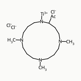 CC(=O)C1CCN(C)CCCN(C)CCCN(C)CCC[N]1[Ti+3].[Cl-].[Cl-].[Cl-]